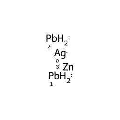 [Ag].[PbH2].[PbH2].[Zn]